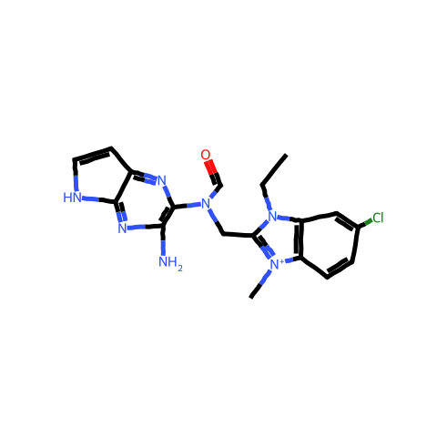 CCn1c(CN(C=O)c2nc3cc[nH]c3nc2N)[n+](C)c2ccc(Cl)cc21